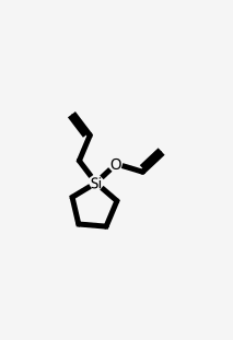 C=CC[Si]1(OC=C)CCCC1